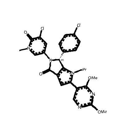 COc1ncc(-c2cc3c(n2C(C)C)[C@@H](c2ccc(Cl)cc2)N(c2cc(Cl)c(=O)n(C)c2)C3=O)c(OC)n1